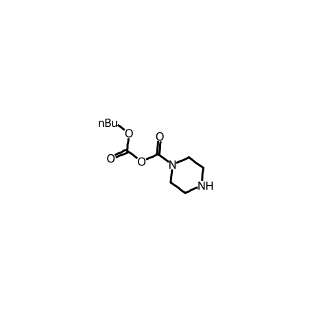 CCCCOC(=O)OC(=O)N1CCNCC1